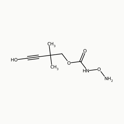 CC(C)(C#CO)COC(=O)NON